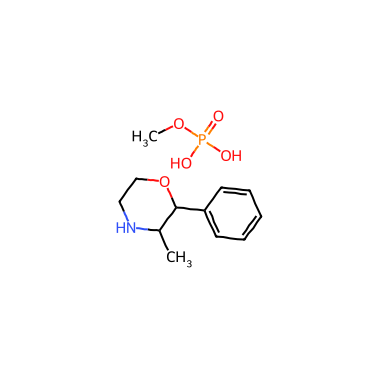 CC1NCCOC1c1ccccc1.COP(=O)(O)O